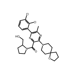 Cc1nc(N2CCC3(CCCO3)CC2)c(C(=O)N2CCCC2CO)nc1-c1cccc(Cl)c1Cl